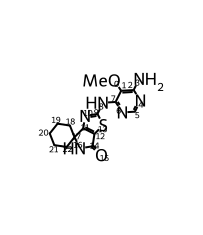 COc1c(N)ncnc1Nc1nc2c(s1)C(=O)NC21CCCCC1